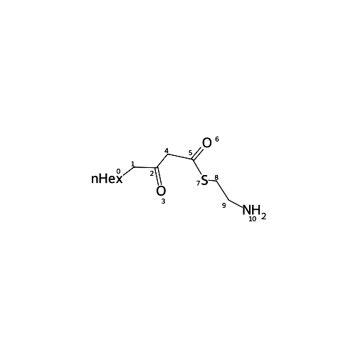 CCCCCCCC(=O)CC(=O)SCCN